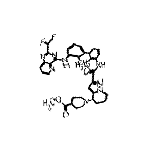 COC(=O)C1CCN([C@@H]2CCCn3nc(C(=O)Nc4cccc(-c5cccc(Nc6nc(C(F)F)nc7cccnc67)c5C)c4C)cc32)CC1